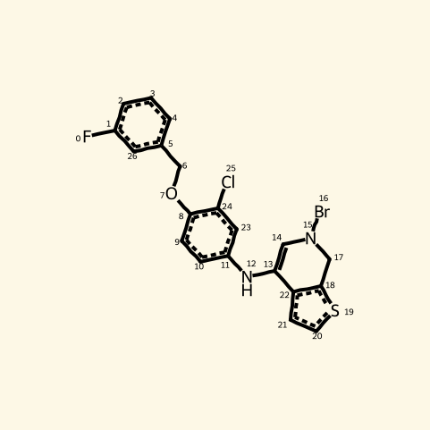 Fc1cccc(COc2ccc(NC3=CN(Br)Cc4sccc43)cc2Cl)c1